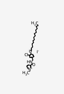 CCCCCCCCCCCCCCCCOc1ccc(CNC(=O)c2ccc[n+](CC)c2)cc1Cl.[I-]